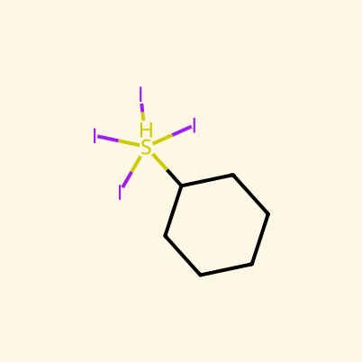 I[SH](I)(I)(I)C1CCCCC1